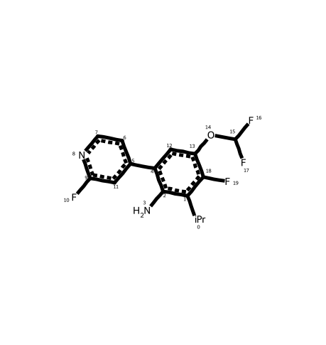 CC(C)c1c(N)c(-c2ccnc(F)c2)cc(OC(F)F)c1F